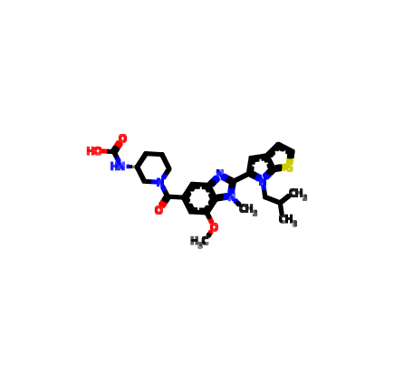 COc1cc(C(=O)N2CCC[C@@H](NC(=O)O)C2)cc2nc(-c3cc4ccsc4n3CC(C)C)n(C)c12